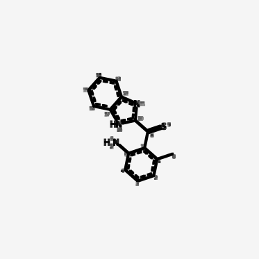 Cc1cccc(N)c1C(=S)c1nc2ccccc2[nH]1